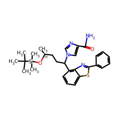 C[C@@H](CCC(c1cccc2sc(-c3ccccc3)nc12)n1cnc(C(N)=O)c1)O[Si](C)(C)C(C)(C)C